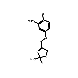 CC1(C)OCC(COc2ccc(Br)c(C=O)c2)O1